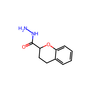 NNC(=O)C1CCc2ccccc2O1